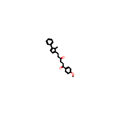 COc1ccc(C(=O)CCC(=O)CCC2=CC=C(c3ccccc3)C2C)cc1